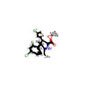 CC(C)(C)CC1NC(C(=O)OC(C)(C)C)C(c2cc(Br)cs2)C1(C#N)c1ccc(Cl)cc1F